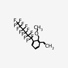 C=Cc1cccc(C(F)(F)C(F)(F)C(F)(F)C(F)(F)C(F)(F)C(F)(F)F)c1COCC